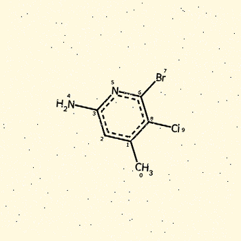 Cc1cc(N)nc(Br)c1Cl